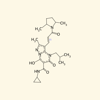 Cc1nn2c(O)c(C(=O)NC3CC3)c(=O)n(CC(C)C)c2c1/C=C/C(=O)N1C(C)CCC1C